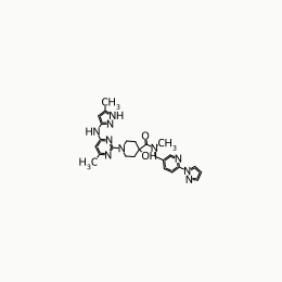 Cc1cc(Nc2cc(C)[nH]n2)nc(N2CCC(O)(C(=O)N(C)Cc3ccc(-n4cccn4)nc3)CC2)n1